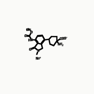 CN1Cc2c(C3CCC(N)(C(=O)[O-])CC3)ccc(NC(=O)OC(C)(C)C)c2C1=O.[Na+]